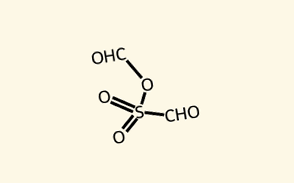 O=COS(=O)(=O)C=O